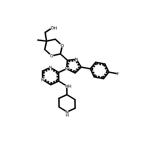 CC1(CO)COC(c2nc(-c3ccc(F)cc3)cn2-c2ncncc2NC2CCNCC2)OC1